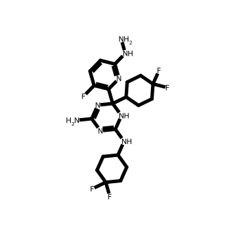 NNc1ccc(F)c(C2(C3CCC(F)(F)CC3)N=C(N)N=C(NC3CCC(F)(F)CC3)N2)n1